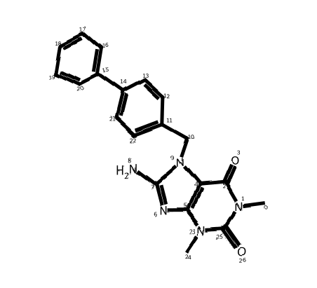 Cn1c(=O)c2c(nc(N)n2Cc2ccc(-c3ccccc3)cc2)n(C)c1=O